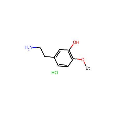 CCOc1ccc(CCN)cc1O.Cl